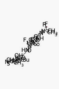 Cc1ncsc1-c1ccc([C@H](C)NC(=O)[C@@H]2C[C@@H](O)CN2C(=O)C(NC(=O)CCCCCCNC(=O)C2CCN(CCC(CSc3ccccc3)Nc3ccc(S(=O)(=O)NC(=O)c4ccc(N5CCN(CC6=C(C78CC(C(F)F)(C7)C8)CC(C)(C)CC6)CC5)cc4)cc3S(=O)(=O)C(F)(F)F)C2)C(C)(C)C)cc1